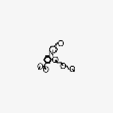 COCCOCCOc1cc(C(=O)OC)ccc1N1CCC(C=O)CC1